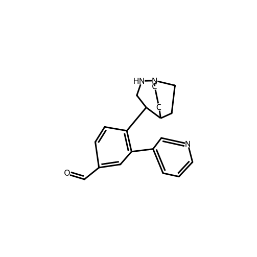 O=Cc1ccc(C2CNN3CCC2CC3)c(-c2cccnc2)c1